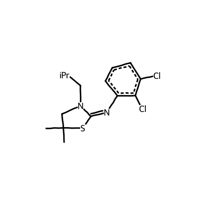 CC(C)CN1CC(C)(C)SC1=Nc1cccc(Cl)c1Cl